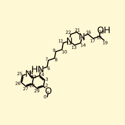 COc1cc(NCCCCCCN2CCN(CCC(C)O)CC2)c2ncccc2c1